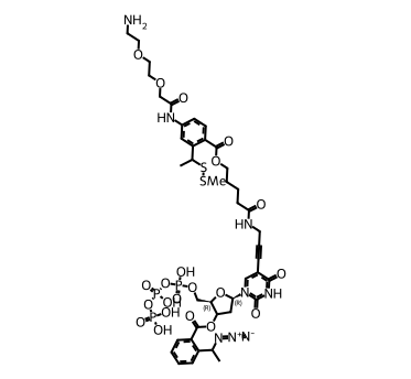 CSSC(C)c1cc(NC(=O)COCCOCCN)ccc1C(=O)OCCCCC(=O)NCC#Cc1cn([C@H]2CC(OC(=O)c3ccccc3C(C)N=[N+]=[N-])[C@@H](COP(=O)(O)OP(=O)(O)OP(=O)(O)O)O2)c(=O)[nH]c1=O